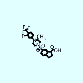 CC1CN(S(=O)(=O)c2ccc3c(c2)C(C(=O)O)CC3)CCN1c1ccc(C(F)(F)F)c(F)c1